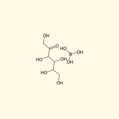 O=C(CO)C(O)C(O)C(O)CO.OB(O)O